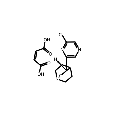 Clc1cncc([C@H]2CN3CCC2CC3)n1.O=C(O)/C=C\C(=O)O